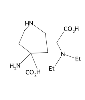 CCN(CC)CC(=O)O.NC1(C(=O)O)CCNCC1